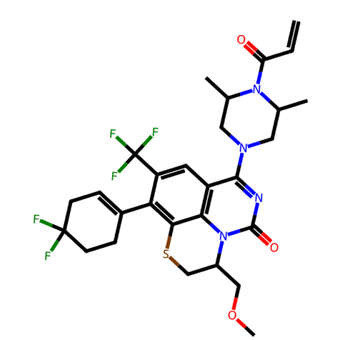 C=CC(=O)N1C(C)CN(c2nc(=O)n3c4c(c(C5=CCC(F)(F)CC5)c(C(F)(F)F)cc24)SCC3COC)CC1C